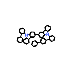 c1ccc(-c2ccc(-c3ccccc3-n3c4ccccc4c4cc(-c5ccc6c(c5)c5ccccc5n6-c5ccccc5-c5ccccc5)ccc43)cc2)cc1